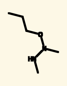 CCCON(C)NC